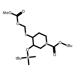 COC(=O)OCSC1CCN(C(=O)OC(C)(C)C)CC1O[Si](C)(C)C(C)(C)C